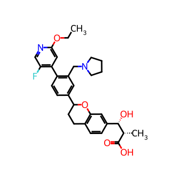 CCOc1cc(-c2ccc(C3CCc4ccc([C@H](O)[C@H](C)C(=O)O)cc4O3)cc2CN2CCCC2)c(F)cn1